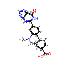 CN(C)c1cc(-c2nc3[nH]cnc3c(=O)[nH]2)ccc1-c1ccc(C(=O)O)cc1